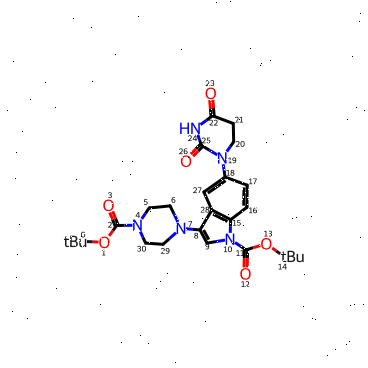 CC(C)(C)OC(=O)N1CCN(c2cn(C(=O)OC(C)(C)C)c3ccc(N4CCC(=O)NC4=O)cc23)CC1